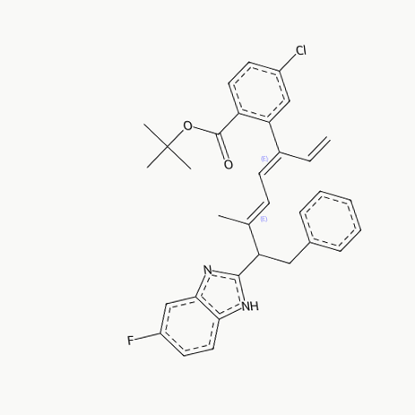 C=C/C(=C\C=C(/C)C(Cc1ccccc1)c1nc2cc(F)ccc2[nH]1)c1cc(Cl)ccc1C(=O)OC(C)(C)C